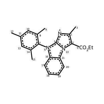 CCOC(=O)c1c(C)nc2n(-c3c(C)cc(C)cc3C)c3ccccc3n12